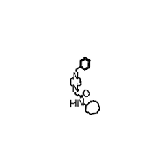 O=C(CN1CCN(Cc2ccccc2)CC1)NC1CCCCCC1